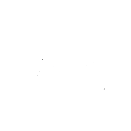 CC(C)N1CCC(C(C(=O)Nc2ccc(Br)cc2)c2ccc(/C=C/C(=O)Nc3ccccc3N)cc2)C1